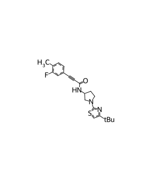 Cc1ccc(C#CC(=O)NC2CCN(c3nc(C(C)(C)C)cs3)C2)cc1F